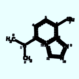 CN(C)c1ccc(C(C)(C)C)c2nncn12